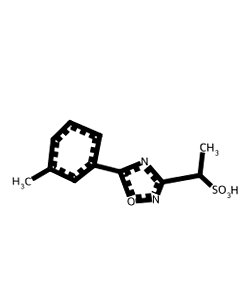 Cc1cccc(-c2nc(C(C)S(=O)(=O)O)no2)c1